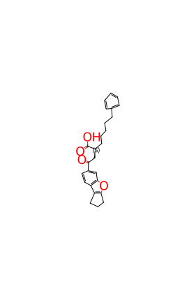 O=C(C[C@H](CCCCCc1ccccc1)C(=O)O)c1ccc2c3c(oc2c1)CCC3